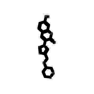 O=c1oc2cc(O)ccc2cc1-n1cc(COC2CCSSC2)nn1